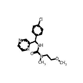 COCCN(C)C(=O)NC(c1ccc(Cl)cc1)c1cnccn1